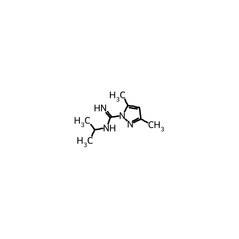 Cc1cc(C)n(C(=N)NC(C)C)n1